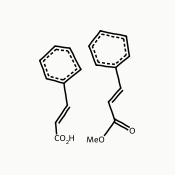 COC(=O)C=Cc1ccccc1.O=C(O)C=Cc1ccccc1